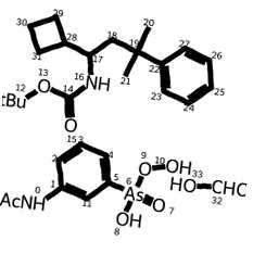 CC(=O)Nc1cccc([As](=O)(O)OO)c1.CC(C)(C)OC(=O)NC(CC(C)(C)c1ccccc1)C1CCC1.O=CO